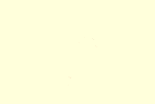 O=C1COc2cccc(O[C@@H]3CCN(C(=O)N4N=CC[C@H]4c4cc(F)cc(F)c4)C3)c2N1